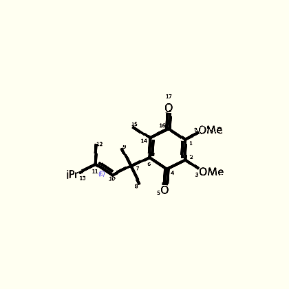 COC1=C(OC)C(=O)C(C(C)(C)/C=C(\C)C(C)C)=C(C)C1=O